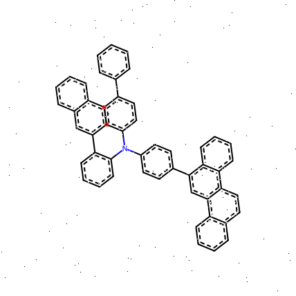 c1ccc(-c2ccc(N(c3ccc(-c4cc5c6ccccc6ccc5c5ccccc45)cc3)c3ccccc3-c3ccc4ccccc4c3)cc2)cc1